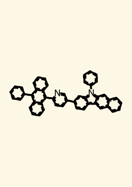 c1ccc(-c2c3ccccc3c(-c3ccc(-c4ccc5c6cc7ccccc7cc6n(-c6ccccc6)c5c4)cn3)c3ccccc23)cc1